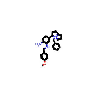 COc1ccc(CNc2cc(C3C=CC4=CC=C[N+]43Cc3ccccc3)ccc2N)cc1